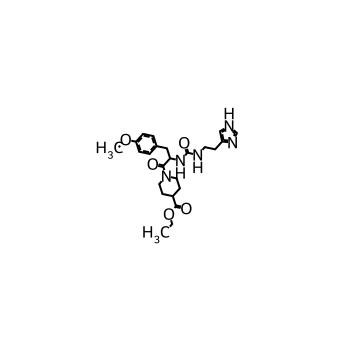 CCOC(=O)C1CCN(C(=O)C(Cc2ccc(OC)cc2)NC(=O)NCCc2c[nH]cn2)CC1